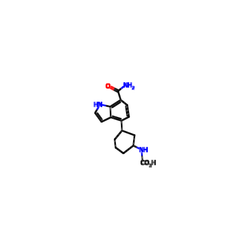 NC(=O)c1ccc(C2CCCC(NC(=O)O)C2)c2cc[nH]c12